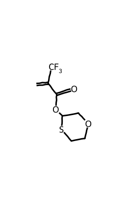 C=C(C(=O)OC1COCCS1)C(F)(F)F